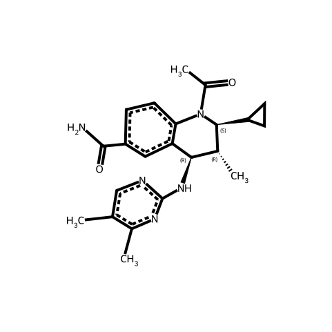 CC(=O)N1c2ccc(C(N)=O)cc2[C@H](Nc2ncc(C)c(C)n2)[C@@H](C)[C@@H]1C1CC1